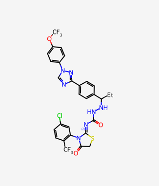 CCC(NNC(=O)/N=C1\SCC(=O)N1c1cc(Cl)ccc1C(F)(F)F)c1ccc(-c2ncn(-c3ccc(OC(F)(F)F)cc3)n2)cc1